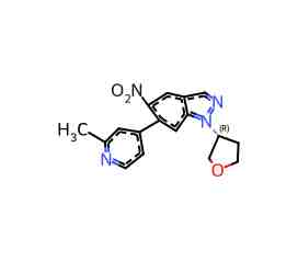 Cc1cc(-c2cc3c(cnn3[C@@H]3CCOC3)cc2[N+](=O)[O-])ccn1